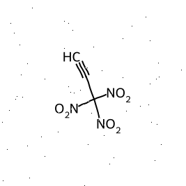 C#CC([N+](=O)[O-])([N+](=O)[O-])[N+](=O)[O-]